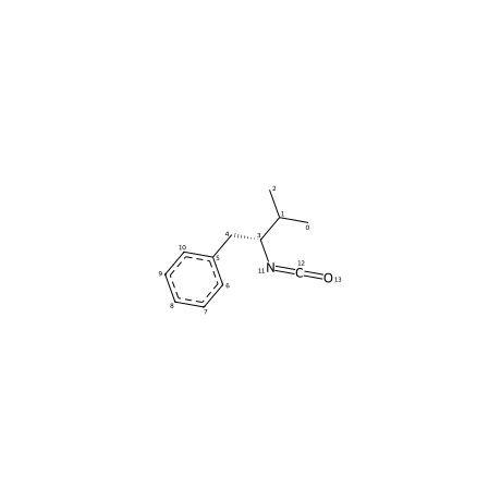 CC(C)[C@@H](Cc1ccccc1)N=C=O